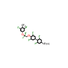 CCCCCc1cc(F)c(-c2cc(F)c(OCC(F)(F)Oc3cc(F)c(C(F)(F)F)c(F)c3)c(F)c2)c(F)c1